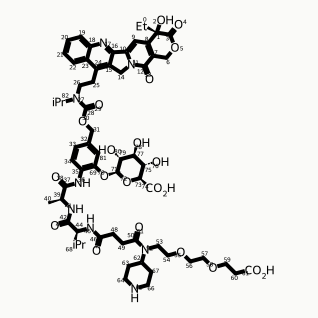 CC[C@@]1(O)C(=O)OCc2c1cc1n(c2=O)Cc2c-1nc1ccccc1c2CCN(C(=O)OCc1ccc(NC(=O)[C@H](C)NC(=O)[C@@H](NC(=O)CCC(=O)N(CCOCCOCCC(=O)O)C2CCNCC2)C(C)C)c(O[C@@H]2O[C@H](C(=O)O)[C@@H](O)[C@H](O)[C@H]2O)c1)C(C)C